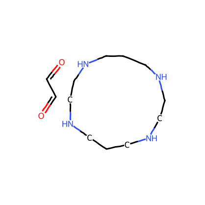 C1CNCCNCCCNCCNC1.O=CC=O